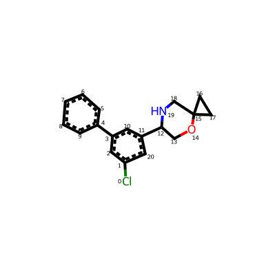 Clc1cc(-c2ccccc2)cc(C2COC3(CC3)CN2)c1